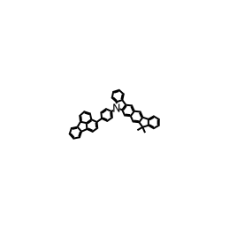 CC1(C)c2ccccc2-c2cc3cc4c5ccccc5n(-c5ccc(-c6ccc7c8c(cccc68)-c6ccccc6-7)cc5)c4cc3cc21